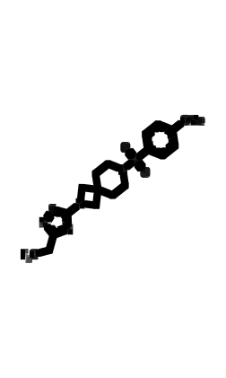 COc1ccc(S(=O)(=O)N2CCC3(CC2)CN(c2nc(CC(F)(F)F)ns2)C3)cc1